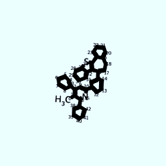 Cc1c(-c2ccccc2)cc(-c2cccc(C3=CCc4ccccc4-c4sc5ccccc5c43)c2)nc1-c1ccccc1